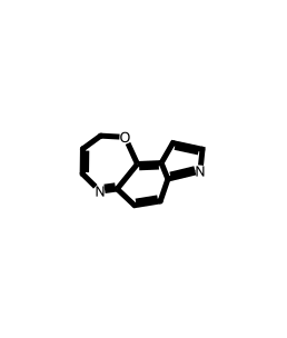 C1=CN=c2ccc3c(c2OC1)C=CN=3